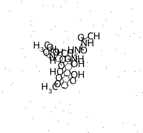 C#CC(=O)NCC(=O)NCCNC(=O)[C@]1(O)Cc2c(O)c3c(c(O)c2[C@@H](O[C@H]2C[C@H]4[C@H](O[C@@H]5[C@@H](OC)OCCN54)[C@H](C)O2)C1)C(=O)c1c(OC)cccc1C3=O